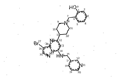 Oc1ccccc1CN1CCC(c2cc(NCc3cccnc3)n3ncc(Br)c3n2)CC1